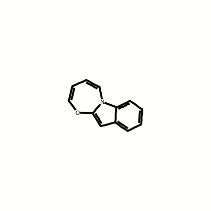 C1=COc2cc3ccccc3n2C=C1